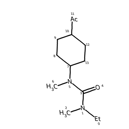 CCN(C)C(=O)N(C)C1CCC(C(C)=O)CC1